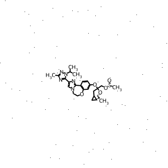 CSOC(COS(C)=O)(CC1CC1)Oc1ccc2c(c1)OCCn1cc(-c3nc(C)nn3C(C)C)nc1-2